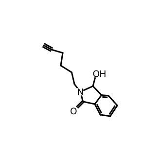 C#CCCCCN1C(=O)c2ccccc2C1O